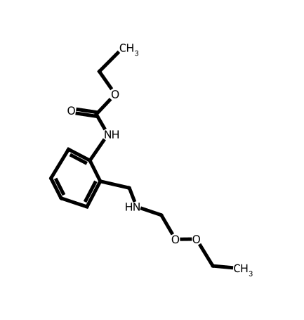 CCOOCNCc1ccccc1NC(=O)OCC